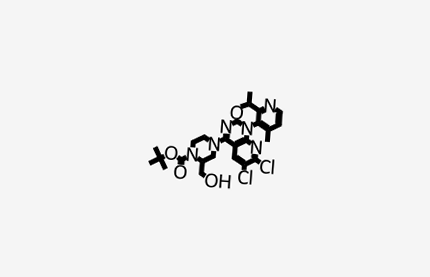 Cc1ccnc(C(C)C)c1-n1c(=O)nc(N2CCN(C(=O)OC(C)(C)C)C(CO)C2)c2cc(Cl)c(Cl)nc21